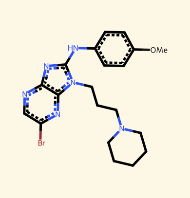 COc1ccc(Nc2nc3ncc(Br)nc3n2CCCN2CCCCC2)cc1